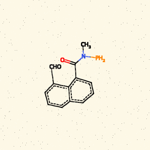 CN(P)C(=O)c1cccc2cccc(C=O)c12